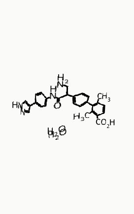 Cc1ccc(C(=O)O)c(C)c1-c1ccc(C(CN)C(=O)Nc2ccc(-c3cn[nH]c3)cc2)cc1.O.O